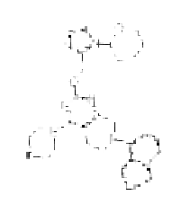 c1ccc2c(N3CCc4c(nc(OCc5nccn5C5CCCCO5)nc4N4CCNCC4)C3)cccc2c1